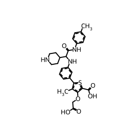 Cc1ccc(NC(=O)C(Nc2cccc(-c3sc(C(=O)O)c(OCC(=O)O)c3C)c2)C2CCNCC2)cc1